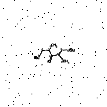 CC(CC(C)(C)C)C(=O)C(C)CC(C)(C)C